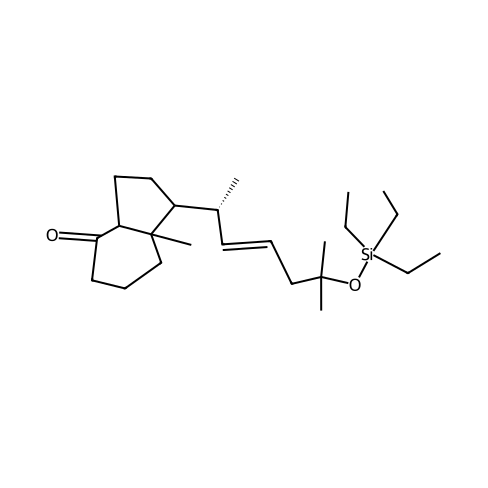 CC[Si](CC)(CC)OC(C)(C)C/C=C/[C@@H](C)C1CCC2C(=O)CCCC21C